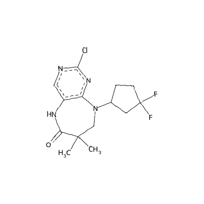 CC1(C)CN(C2CCC(F)(F)C2)c2nc(Cl)ncc2NC1=O